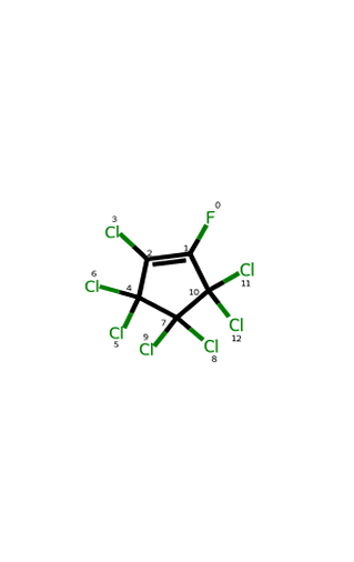 FC1=C(Cl)C(Cl)(Cl)C(Cl)(Cl)C1(Cl)Cl